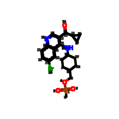 CS(=O)(=O)OCC1CCC(Nc2c(C(=O)C3CC3)cnc3ccc(Br)cc23)CC1